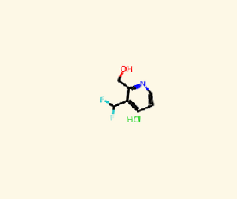 Cl.OCc1ncccc1C(F)F